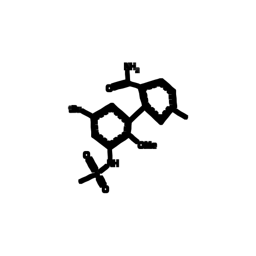 COc1c(NS(C)(=O)=O)cc(C(C)(C)C)cc1-c1cc(C)ccc1C(N)=O